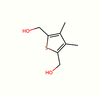 Cc1c(CO)sc(CO)c1C